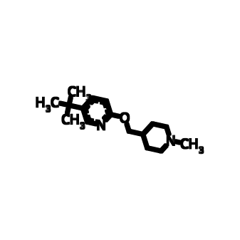 CN1CCC(COc2ccc(C(C)(C)C)cn2)CC1